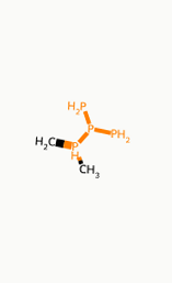 C=[PH](C)P(P)P